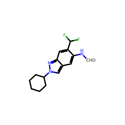 O=CNc1cc2cn(C3CCCCC3)nc2cc1C(F)F